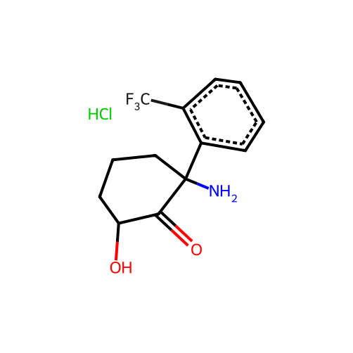 Cl.NC1(c2ccccc2C(F)(F)F)CCCC(O)C1=O